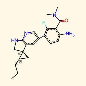 CCC[C@@H]1C[C@]12CNc1ncc(-c3ccc(N)c(C(=O)N(C)C)c3F)cc12